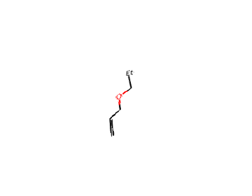 C=CCOC[CH]C